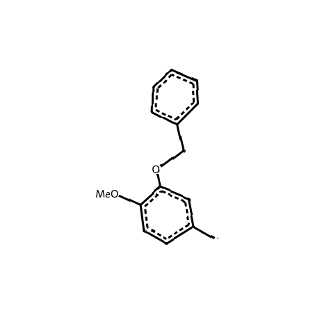 [CH2]c1ccc(OC)c(OCc2ccccc2)c1